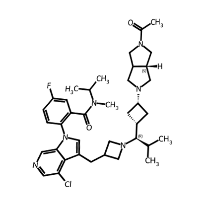 CC(=O)N1CC2CN([C@H]3C[C@@H]([C@@H](C(C)C)N4CC(Cc5cn(-c6ccc(F)cc6C(=O)N(C)C(C)C)c6cncc(Cl)c56)C4)C3)C[C@H]2C1